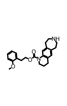 COc1ccccc1CCOC(=O)N1CCCc2cc3c(cc21)CCNCC3